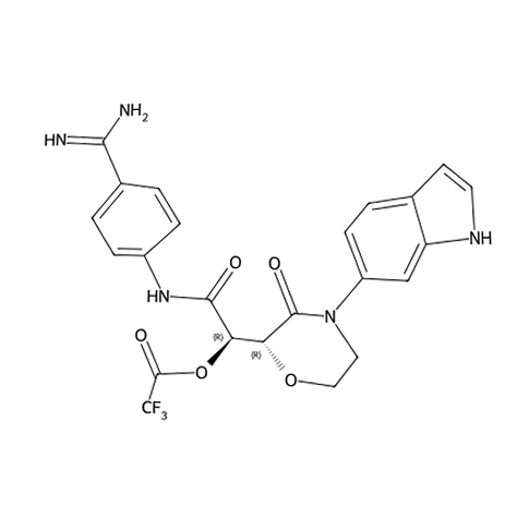 N=C(N)c1ccc(NC(=O)[C@H](OC(=O)C(F)(F)F)[C@H]2OCCN(c3ccc4cc[nH]c4c3)C2=O)cc1